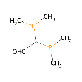 CP(C)C(C=O)P(C)C